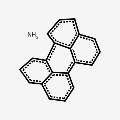 N.c1cc2cccc3c4cccc5cccc(c(c1)c23)c54